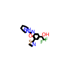 OC(c1cc(-c2nccs2)c2oc(N3CC4CCC(C3)N4)nc2c1)C(F)F